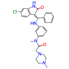 CN1CCN(CC(=O)N(C)c2cccc(NC(=C3C(=O)Nc4cc(Cl)ccc43)c3ccccc3)c2)CC1